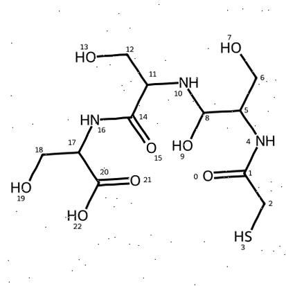 O=C(CS)NC(CO)C(O)NC(CO)C(=O)NC(CO)C(=O)O